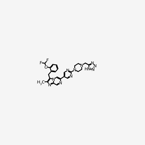 Cc1nc2cnc(-c3cnc(N4CCN(Cc5nnn[nH]5)CC4)nc3)cn2c1Cc1ccccc1OC(F)F